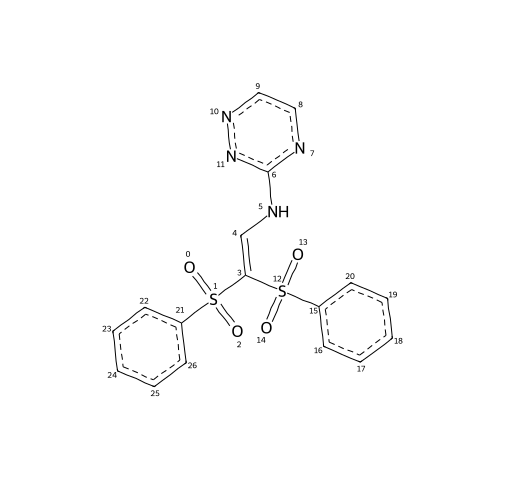 O=S(=O)(C(=CNc1nccnn1)S(=O)(=O)c1ccccc1)c1ccccc1